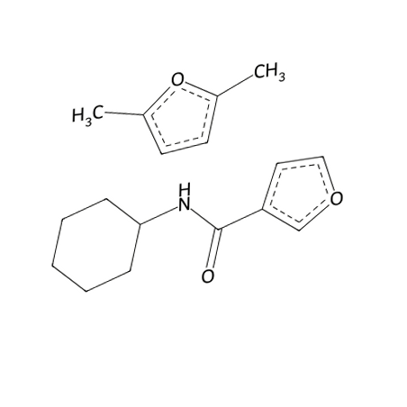 Cc1ccc(C)o1.O=C(NC1CCCCC1)c1ccoc1